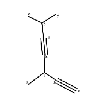 C#CC(C)C#CC([CH2])C